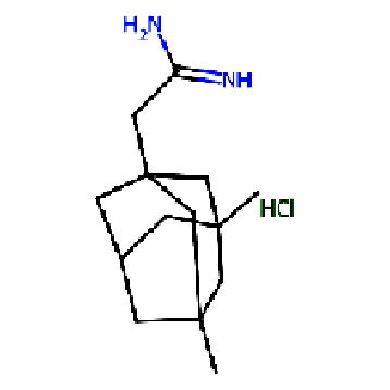 CC12CC3CC(C)(C1)CC(CC(=N)N)(C3)C2.Cl